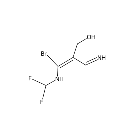 N=C/C(CO)=C(/Br)NC(F)F